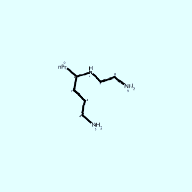 CCCC(CCCN)NCCN